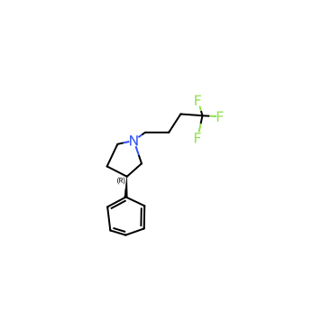 FC(F)(F)CCCN1CC[C@H](c2ccccc2)C1